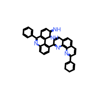 N=C1C=Cc2c(-c3ccccc3)nc3cccc(-c4ccc5ccc6ccc(C7=CCCC=C7)nc6c5n4)c3c2C1=N